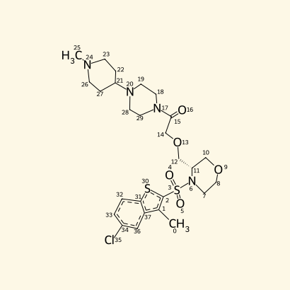 Cc1c(S(=O)(=O)N2CCOC[C@H]2COCC(=O)N2CCN(C3CCN(C)CC3)CC2)sc2ccc(Cl)cc12